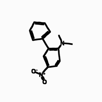 CN(C)c1ccc([N+](=O)[O-])cc1-c1ccccc1